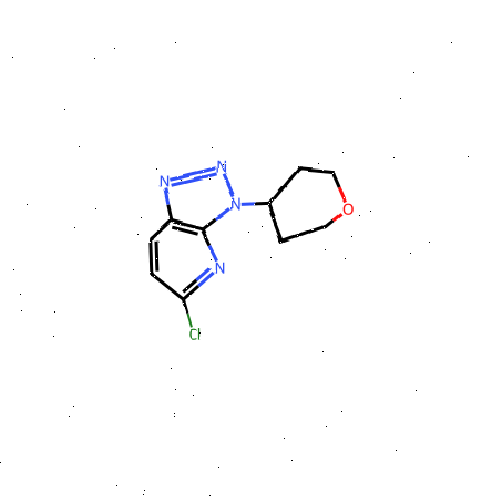 Clc1ccc2nnn(C3CCOCC3)c2n1